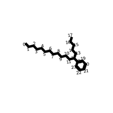 CCCCCCCCCCCCC(CCCCC)c1ccccc1